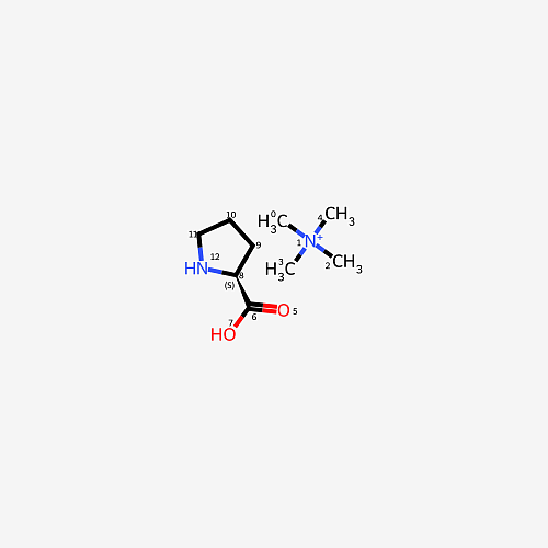 C[N+](C)(C)C.O=C(O)[C@@H]1CCCN1